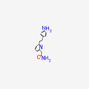 NC(=O)Cc1cccc(CCc2ccc(N)cc2)n1